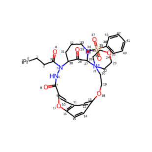 CC(C)CCC(=O)N1NC(=O)c2cc3cc(ccc3o2)OCC[N+]2(CCOCC2)[C@H]2C(=O)C1CCCN2S(=O)(=O)c1ccccc1